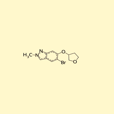 Cn1cc2cc(Br)c(OC3CCOC3)cc2n1